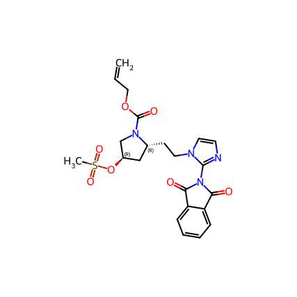 C=CCOC(=O)N1C[C@H](OS(C)(=O)=O)C[C@H]1CCn1ccnc1N1C(=O)c2ccccc2C1=O